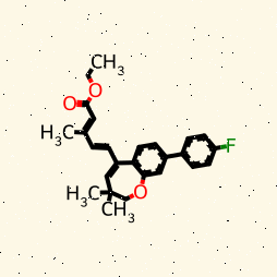 CCOC(=O)C=C(C)C=CC1=CC(C)(C)COc2cc(-c3ccc(F)cc3)ccc21